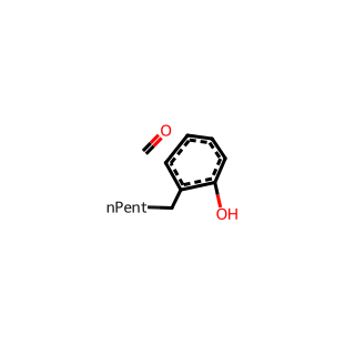 C=O.CCCCCCc1ccccc1O